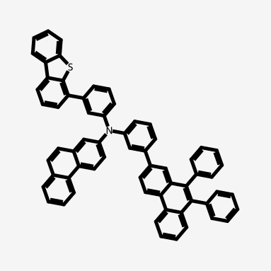 c1ccc(-c2c(-c3ccccc3)c3cc(-c4cccc(N(c5cccc(-c6cccc7c6sc6ccccc67)c5)c5ccc6c(ccc7ccccc76)c5)c4)ccc3c3ccccc23)cc1